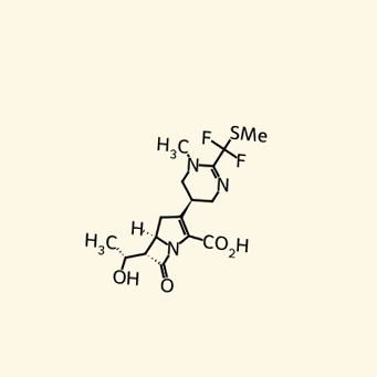 CSC(F)(F)C1=NC[C@@H](C2=C(C(=O)O)N3C(=O)[C@H]([C@@H](C)O)[C@H]3C2)CN1C